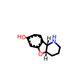 Oc1ccc2c(c1)O[C@H]1CCCN[C@@H]21